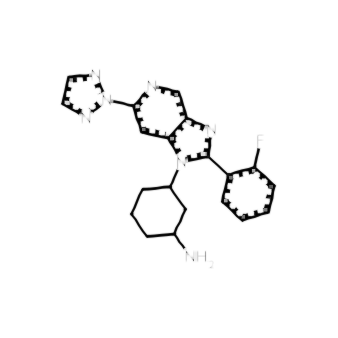 NC1CCCC(n2c(-c3ccccc3F)nc3cnc(-n4nccn4)cc32)C1